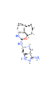 CSC[C@@H](NC(=O)Nc1cc2[nH]nc(N)c2cn1)c1ccccc1